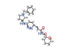 O=C(/C=C/c1ccc(N[C@@H]2CCN(Cc3ccccc3)C2)nn1)NOC1CCCCO1